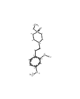 CCP1(=O)CCN(CCc2ccc(OC)cc2OI)CC1